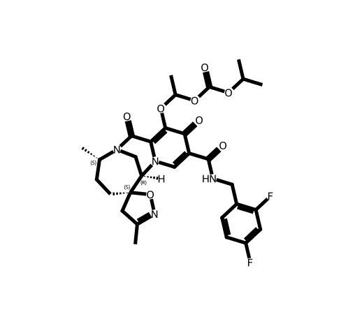 CC1=NO[C@@]2(CC[C@H](C)N3C[C@H]2n2cc(C(=O)NCc4ccc(F)cc4F)c(=O)c(OC(C)OC(=O)OC(C)C)c2C3=O)C1